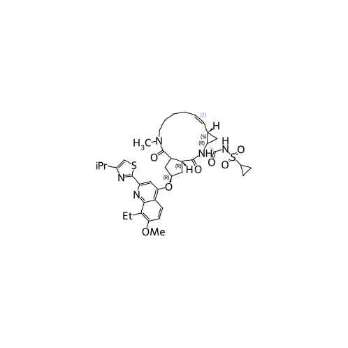 CCc1c(OC)ccc2c(O[C@H]3CC4C(=O)N(C)CCCC/C=C\[C@@H]5C[C@@]5(C(=O)NS(=O)(=O)C5CC5)NC(=O)[C@@H]4C3)cc(-c3nc(C(C)C)cs3)nc12